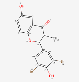 CC1C(=O)c2cc(O)ccc2OC1c1cc(Br)c(O)c(Br)c1